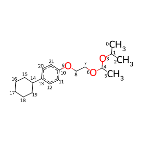 CC(C)OC(C)OCCOc1ccc(C2CCCCC2)cc1